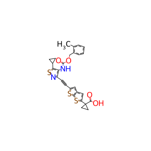 Cc1ccccc1COC(=O)Nc1c(C#Cc2cc3cc(C4(C(=O)O)CC4)sc3s2)nsc1C1CC1